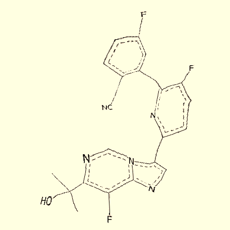 CC(C)(O)c1ncn2c(-c3ccc(F)c(-c4cc(F)ccc4C#N)n3)cnc2c1F